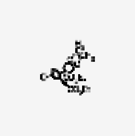 CCOC(=O)C#Cc1cc(Cl)ccc1C1(C(=O)OCC)CCC2(CC1)OCC(C)(C)CO2